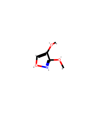 COc1conc1OC